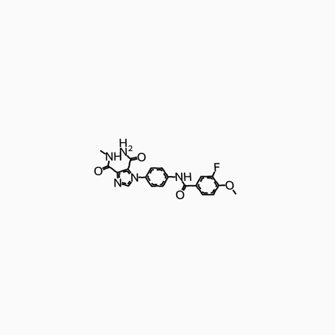 CNC(=O)c1ncn(-c2ccc(NC(=O)c3ccc(OC)c(F)c3)cc2)c1C(N)=O